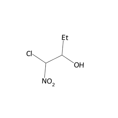 CCC(O)C(Cl)[N+](=O)[O-]